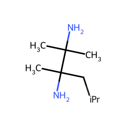 CC(C)CC(C)(N)C(C)(C)N